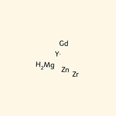 [Gd].[MgH2].[Y].[Zn].[Zr]